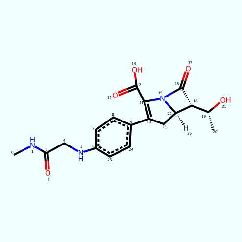 CNC(=O)CNc1ccc(C2=C(C(=O)O)N3C(=O)[C@H]([C@@H](C)O)[C@H]3C2)cc1